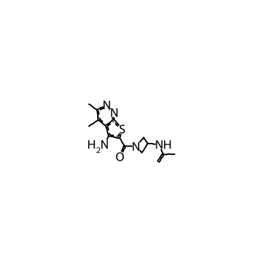 C=C(C)NC1CN(C(=O)c2sc3nnc(C)c(C)c3c2N)C1